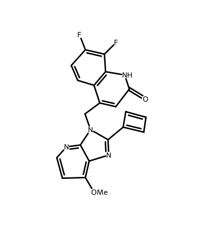 COc1ccnc2c1nc(C1=CC=C1)n2Cc1cc(=O)[nH]c2c(F)c(F)ccc12